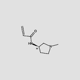 C=CC(=O)N[C@@H]1CCN(C)C1